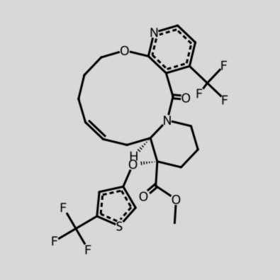 COC(=O)[C@]1(Oc2csc(C(F)(F)F)c2)CCCN2C(=O)c3c(C(F)(F)F)ccnc3OCCC/C=C\C[C@@H]21